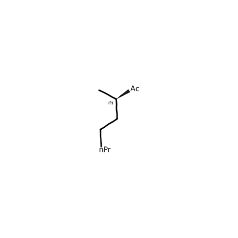 CCCCC[C@@H](C)C(C)=O